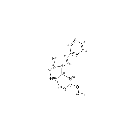 COc1ccc2ncc(F)c(C=Cc3ccccc3)c2n1